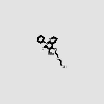 CCCCc1c(OCCOCCO)c2cccnc2n(-c2ccccc2)c1=O